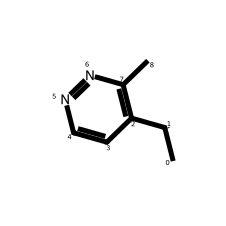 C[CH]c1ccnnc1C